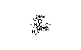 COC(=O)c1cccc(-c2c(N)nc(N)nc2O[C@H](O)[C@H](C)O)c1